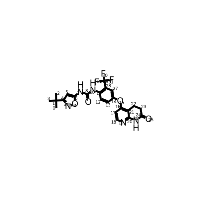 CC(C)(C)c1cc(NC(=O)Nc2ccc(Oc3ccnc4c3CCC(=O)N4)cc2C(F)(F)F)on1